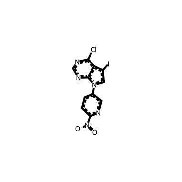 O=[N+]([O-])c1ccc(-n2cc(I)c3c(Cl)ncnc32)cn1